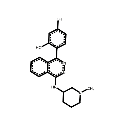 CN1CCCC(Nc2nnc(-c3ccc(O)cc3O)c3ccccc23)C1